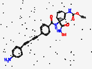 CC(C)(C)OC(=O)NC1=C[C@](NC(=O)c2ccc(C#CC#Cc3ccc(N)cc3)cc2)(C(=O)NO)CC=C1